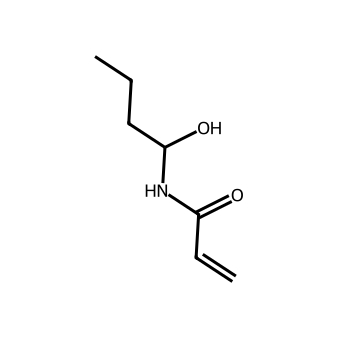 C=CC(=O)NC(O)CCC